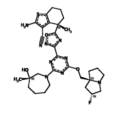 C[C@]1(O)CCCCN(c2nc(OC[C@@]34CCCN3C[C@H](F)C4)nc(-c3noc([C@@]4(C)CCCc5sc(N)c(C#N)c54)n3)n2)C1